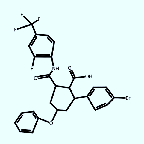 O=C(Nc1ccc(C(F)(F)F)cc1F)C1CC(Oc2ccccc2)CC(c2ccc(Br)cc2)C1C(=O)O